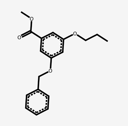 CCCOc1cc(OCc2ccccc2)cc(C(=O)OC)c1